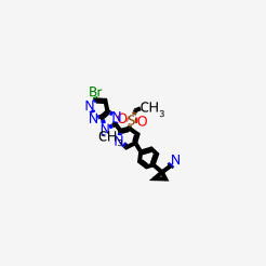 CCS(=O)(=O)c1cc(-c2ccc(C3(C#N)CC3)cc2)cnc1-c1nc2cc(Br)nnc2n1C